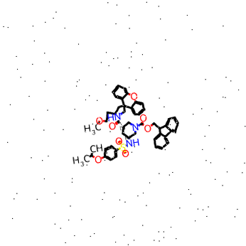 COCCCCC1(CNC(=O)[C@H]2C[C@@H](NS(=O)(=O)c3ccc(OC(C)C)cc3)CN(C(=O)OCC3c4ccccc4-c4ccccc43)C2)c2ccccc2Oc2ccccc21